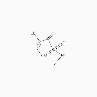 C=C(/C(Cl)=C\C)S(=O)(=O)NC